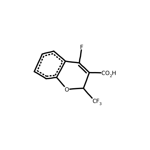 O=C(O)C1=C(F)c2ccccc2OC1C(F)(F)F